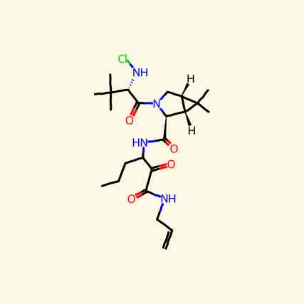 C=CCNC(=O)C(=O)C(CCC)NC(=O)[C@@H]1[C@@H]2[C@H](CN1C(=O)[C@@H](NCl)C(C)(C)C)C2(C)C